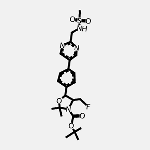 CC(C)(C)OC(=O)N1C(CF)C(c2ccc(-c3cnc(CNS(C)(=O)=O)nc3)cc2)OC1(C)C